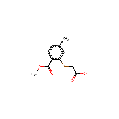 COC(=O)c1ccc(C)cc1SCC(=O)O